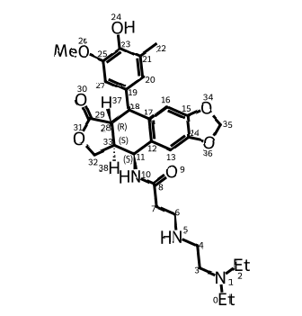 CCN(CC)CCNCCC(=O)N[C@@H]1c2cc3c(cc2C(c2cc(C)c(O)c(OC)c2)[C@H]2C(=O)OC[C@H]12)OCO3